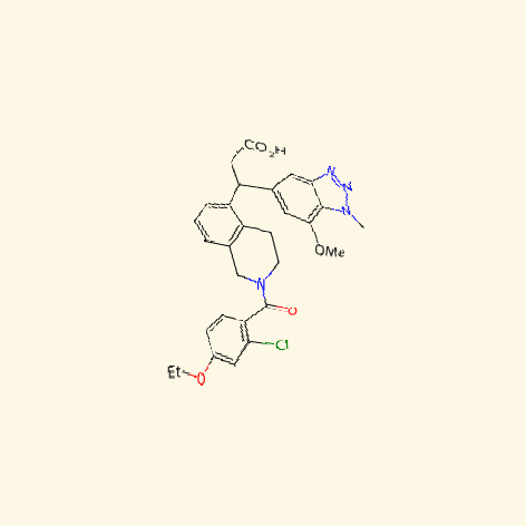 CCOc1ccc(C(=O)N2CCc3c(cccc3C(CC(=O)O)c3cc(OC)c4c(c3)nnn4C)C2)c(Cl)c1